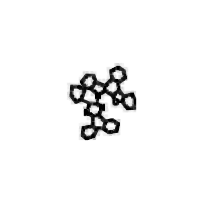 c1ccc(-c2nc3c4ccccc4c4ccccc4c3nc2-n2c3ccccc3c3c4ccccc4c4c5ccccc5oc4c32)cc1